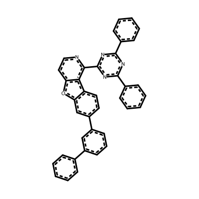 c1ccc(-c2cccc(-c3ccc4c(c3)oc3ccnc(-c5nc(-c6ccccc6)nc(-c6ccccc6)n5)c34)c2)cc1